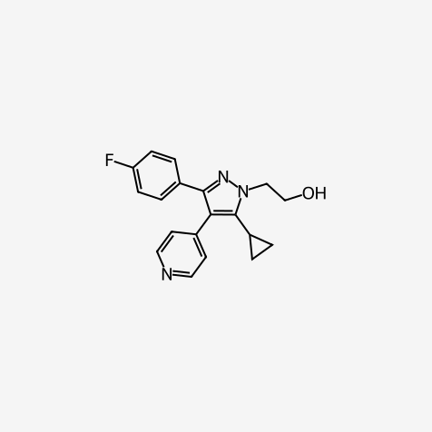 OCCn1nc(-c2ccc(F)cc2)c(-c2ccncc2)c1C1CC1